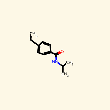 CCc1ccc(C(=O)NC(C)C)cc1